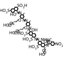 Cc1cc(N=Nc2c(S(=O)(=O)O)cc3c(S(=O)(=O)O)c(N=Nc4cc(S(=O)(=O)O)c5cc(SOOO)c(N=Nc6ccc([N+](=O)[O-])cc6C#N)c(O)c5c4N)ccc3c2O)c(OCCCSOOO)cc1N=Nc1cc(C)c(N=Nc2cc(S(=O)(=O)O)cc3cc(S(=O)(=O)O)cc(O)c23)cc1OCCCSOOO